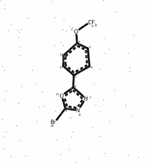 FC(F)(F)Oc1ccc(-c2nnc(Br)o2)cc1